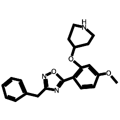 COc1ccc(-c2nc(Cc3ccccc3)no2)c(OC2CCNCC2)c1